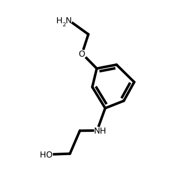 NCOc1cccc(NCCO)c1